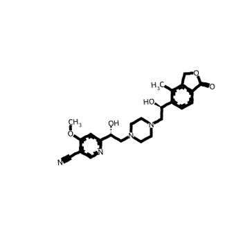 COc1cc([C@H](O)CN2CCN(C[C@@H](O)c3ccc4c(c3C)COC4=O)CC2)ncc1C#N